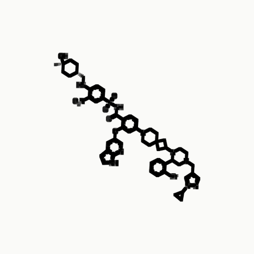 CC(C)c1ccccc1C1CN(Cc2cnn(C3CC3)c2)CCN1C1CC2(CCN(c3ccc(C(=O)NS(=O)(=O)c4ccc(NC[C@H]5CC[C@](C)(O)CC5)c([N+](=O)[O-])c4)c(Oc4cnc5[nH]ccc5c4)c3)CC2)C1